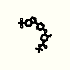 CC(C)(C)OC(=O)N1CCC(Oc2ccc(-n3ccc4cc(S(C)(=O)=O)ccc43)nc2)C(F)C1